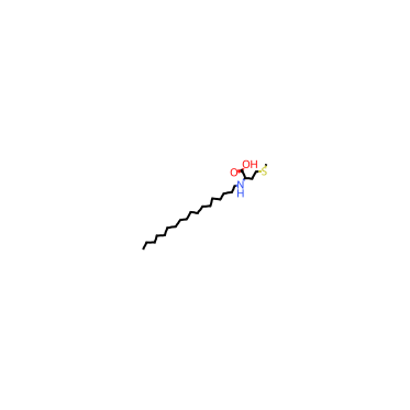 CCCCCCCCCCCCCCCCCCNC(CCSC)C(=O)O